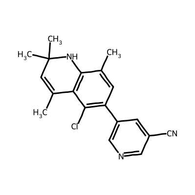 CC1=CC(C)(C)Nc2c(C)cc(-c3cncc(C#N)c3)c(Cl)c21